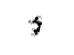 Cc1ccc(-n2nc(C(C)(C)C)cc2NC(=O)Nc2ccc(OCCN3CCn4c(nnc4-c4cc(Cl)ccc4OS(C)(=O)=O)C3)c3c2CCC3)cc1